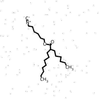 [C-]#[N+]CCCCCCOC(=O)C(CCCCCC)CCCCCCCC